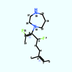 C/C=C(/C)CCC(F)/C(=C(\C)F)N1CCCNCC1